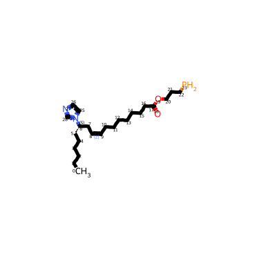 CCCCCC[C@@H](C/C=C\CCCCCCCC(=O)OCCCP)n1ccnc1